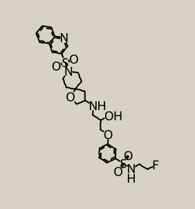 O=S(=O)(NCCF)c1cccc(OCC(O)CNC2COC3(CCN(S(=O)(=O)c4cnc5ccccc5c4)CC3)C2)c1